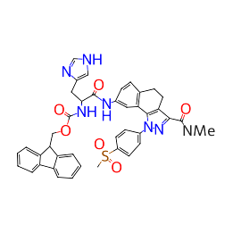 CNC(=O)c1nn(-c2ccc(S(C)(=O)=O)cc2)c2c1CCc1ccc(NC(=O)C(Cc3c[nH]cn3)NC(=O)OCC3c4ccccc4-c4ccccc43)cc1-2